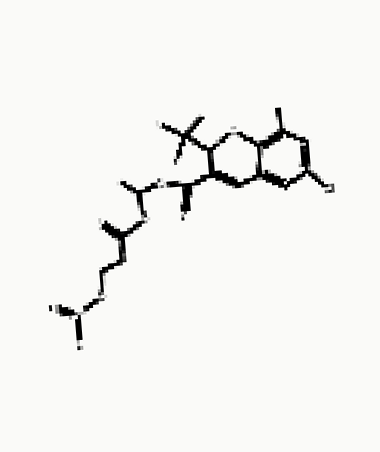 Cc1cc(Cl)cc2c1OC(C(F)(F)F)C(C(=O)OC(C)OC(=O)CCO[N+](=O)[O-])=C2